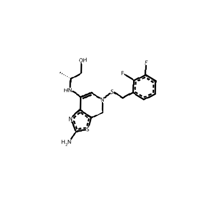 C[C@H](CO)NC1=CN(SCc2cccc(F)c2F)Cc2sc(N)nc21